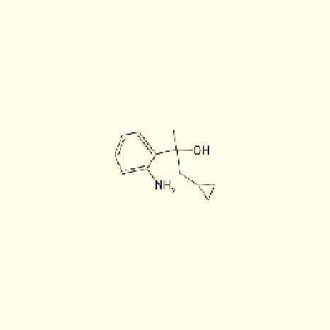 CC(O)(CC1CC1)c1ccccc1N